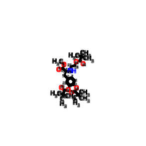 COC(=O)[C@H](Cc1ccc(OC(=O)C(C)(C)C)c(OC(=O)C(C)(C)C)c1)NCCOC(=O)C(C)(C)C